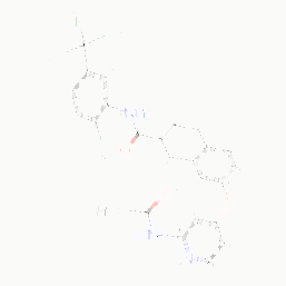 CC(=O)Nc1cc(Oc2ccc3c(c2)CC(C(=O)Nc2cc(C(F)(F)F)ccc2F)CC3)ccn1